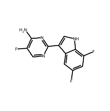 Nc1nc(-c2c[nH]c3c(F)cc(F)cc23)ncc1F